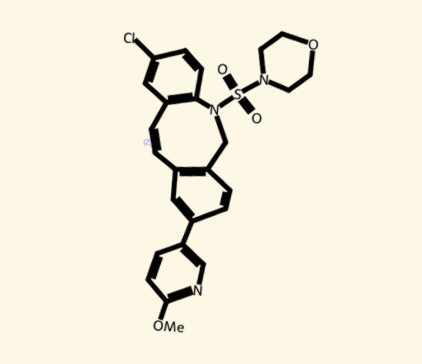 COc1ccc(-c2ccc3c(c2)/C=C\c2cc(Cl)ccc2N(S(=O)(=O)N2CCOCC2)C3)cn1